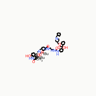 CC(C)(C)OC(=O)N(Cc1ccc(C(=O)NCCCNC(=O)Nc2cccc(C(O)(C(=O)OCC3CCN(Cc4ccccc4)CC3)c3ccccc3)c2)cc1)C[C@H](O[Si](C)(C)C(C)(C)C)c1ccc(O)c2[nH]c(=O)ccc12